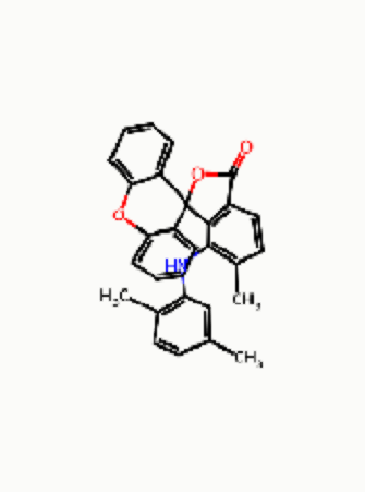 Cc1ccc(C)c(Nc2c(C)ccc3c2C2(OC3=O)c3ccccc3Oc3ccccc32)c1